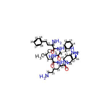 CC(C)C[C@@H](NC(=O)[C@@H](Cc1ccccc1)NC(=O)[C@H](N)CCc1ccccc1)C(=O)N[C@H](CCCCN)C(=O)N1CCc2[nH]ncc2C1